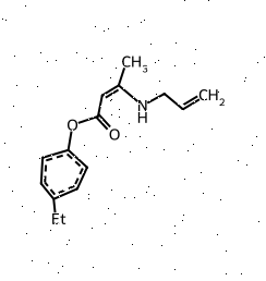 C=CCNC(C)=CC(=O)Oc1ccc(CC)cc1